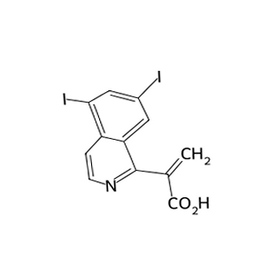 C=C(C(=O)O)c1nccc2c(I)cc(I)cc12